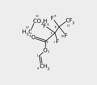 C=COC(=O)C(F)(F)C(F)(F)C(F)(F)F.CC(=O)O